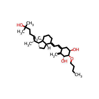 C=C1/C(=C\C=C2/CCC[C@]3(C)[C@@H]([C@H](C)CCCC(C)(C)O)CC[C@@H]23)C[C@@H](O)[C@@H](OCCCC)[C@@H]1O